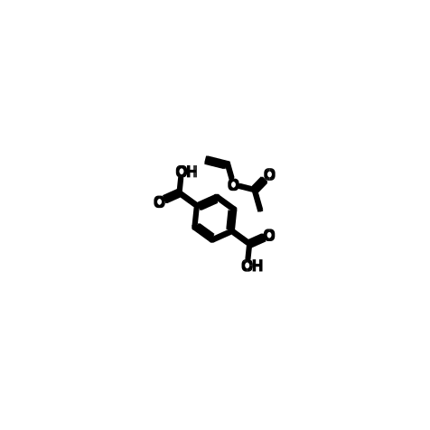 C=COC(C)=O.O=C(O)c1ccc(C(=O)O)cc1